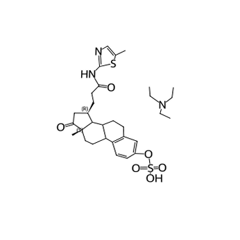 CCN(CC)CC.Cc1cnc(NC(=O)CC[C@@H]2CC(=O)[C@@]3(C)CCC4c5ccc(OS(=O)(=O)O)cc5CCC4C23)s1